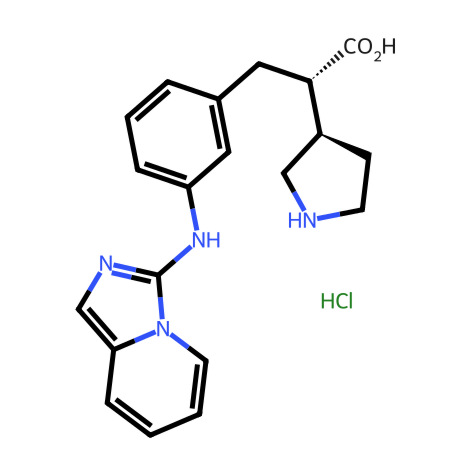 Cl.O=C(O)[C@@H](Cc1cccc(Nc2ncc3ccccn23)c1)[C@H]1CCNC1